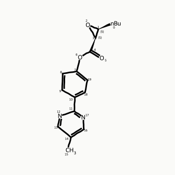 CCCC[C@@H]1O[C@@H]1C(=O)Oc1ccc(-c2ncc(C)cn2)cc1